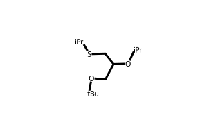 CC(C)OC(COC(C)(C)C)CSC(C)C